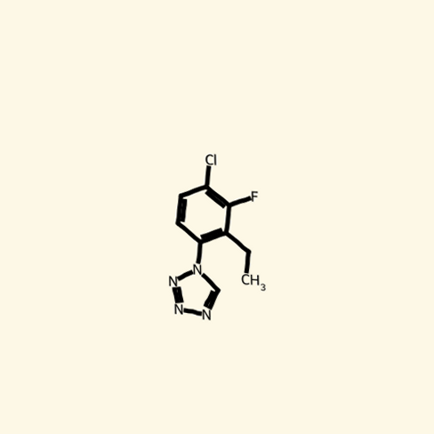 CCc1c(-n2cnnn2)ccc(Cl)c1F